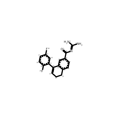 NC(N)=NC(=O)c1ccc2c(c1)C(c1cc(F)ccc1F)=CCC2